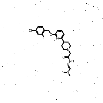 CN(C)/C=N/NC(=O)CN1CCC(c2cccc(OCc3ccc(Cl)cc3F)n2)CC1